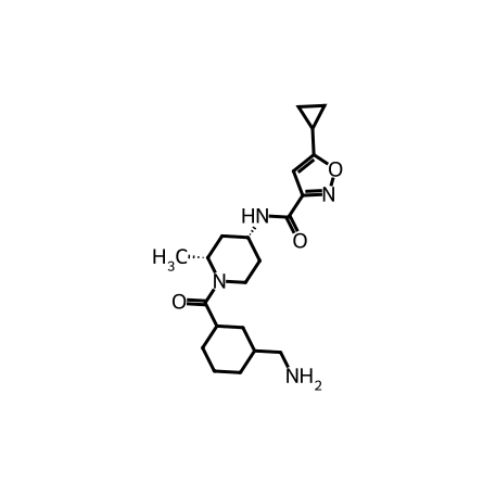 C[C@@H]1C[C@H](NC(=O)c2cc(C3CC3)on2)CCN1C(=O)C1CCCC(CN)C1